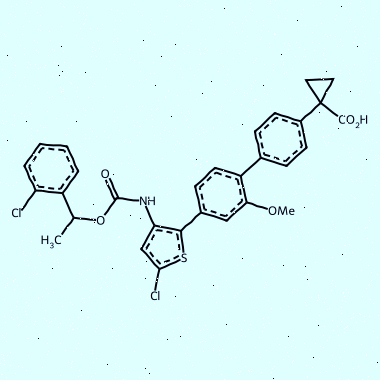 COc1cc(-c2sc(Cl)cc2NC(=O)OC(C)c2ccccc2Cl)ccc1-c1ccc(C2(C(=O)O)CC2)cc1